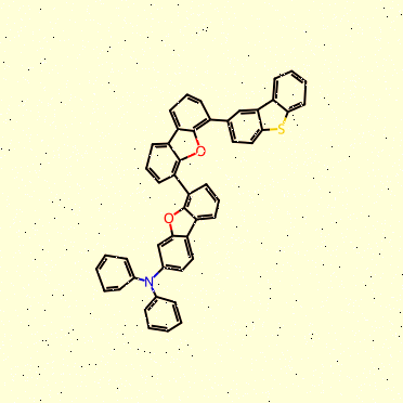 c1ccc(N(c2ccccc2)c2ccc3c(c2)oc2c(-c4cccc5c4oc4c(-c6ccc7sc8ccccc8c7c6)cccc45)cccc23)cc1